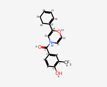 O=C(c1ccc(O)c(C(F)(F)F)c1)N1C=COC(C2=CC=CCC2)=C1